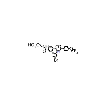 O=C(O)CCNC(=O)c1ccc(C(=O)/C(=C\C(=O)c2ccc(OC(F)(F)F)cc2)c2cc(Br)cs2)cc1